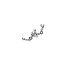 COc1ccc(C2CSC(NC(=O)/C=C/c3cccc(OCC(F)F)c3)=N2)cc1